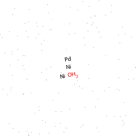 O.[Ni].[Ni].[Pd]